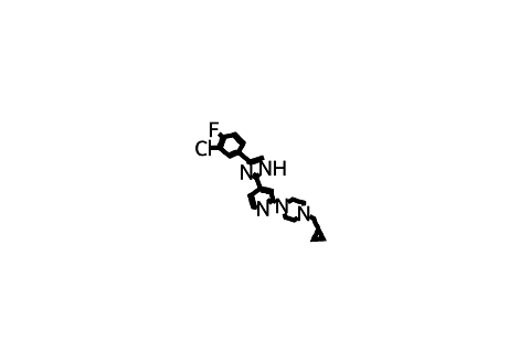 Fc1ccc(-c2c[nH]c(-c3ccnc(N4CCN(CC5CC5)CC4)c3)n2)cc1Cl